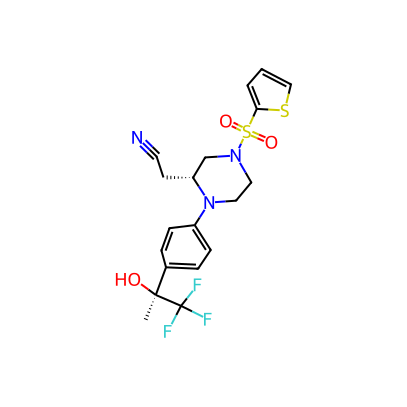 C[C@](O)(c1ccc(N2CCN(S(=O)(=O)c3cccs3)C[C@H]2CC#N)cc1)C(F)(F)F